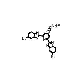 CCC1=CC2=NC(c3cccc(C4=NC5C=CC(CC)=CC5=N4)n3)=NC2C=C1.[Cl-].[Cl-].[Cl-].[Nd+3]